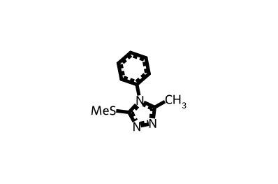 [CH2]Sc1nnc(C)n1-c1ccccc1